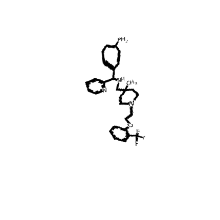 CC1(CNC(C2=CCC=C(P)C=C2)c2ccccn2)CCN(CCOc2ccccc2C(F)(F)F)CC1